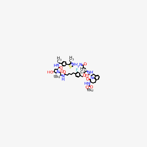 Cc1ncsc1-c1ccc([C@H](C)NC(=O)[C@@H]2C[C@@H](O)CN2C(=O)[C@@H](NC(=O)CCCCc2ccc(CO[C@H](C)[C@H](CCC(N)=O)NC(=O)[C@@H]3Cc4cccc5c4N3C(=O)[C@@H](NC(=O)OC(C)(C)C)CC5)cc2F)C(C)(C)C)cc1